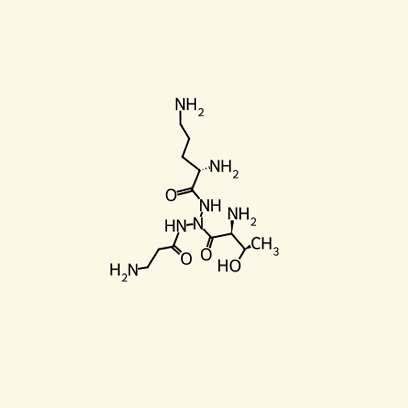 C[C@@H](O)[C@H](N)C(=O)N(NC(=O)CCN)NC(=O)[C@@H](N)CCCN